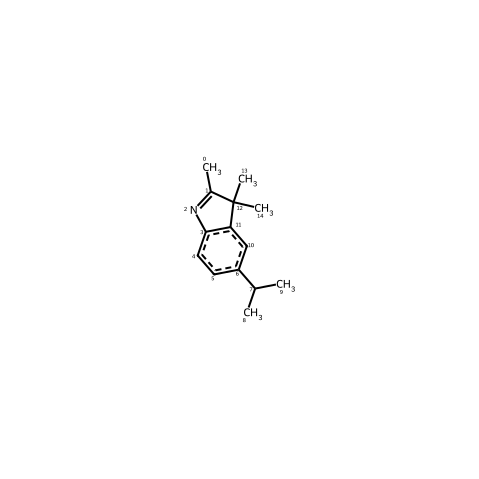 CC1=Nc2ccc(C(C)C)cc2C1(C)C